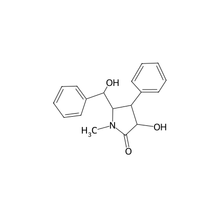 CN1C(=O)C(O)C(c2ccccc2)C1C(O)c1ccccc1